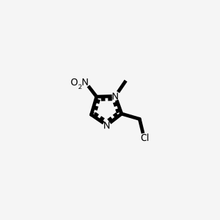 Cn1c([N+](=O)[O-])cnc1CCl